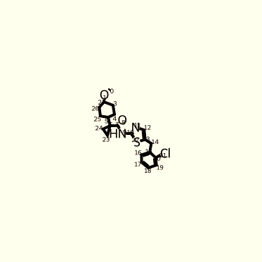 COC1CCC(C2(C(=O)Nc3ncc(Cc4ccccc4Cl)s3)CC2)CC1